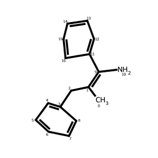 C/C(Cc1ccccc1)=C(\N)c1ccccc1